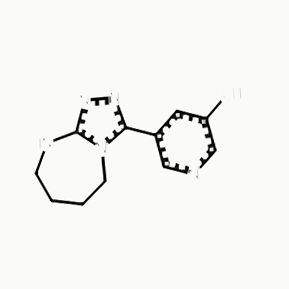 Cc1cncc(-c2nnc3n2CCCCN3)c1